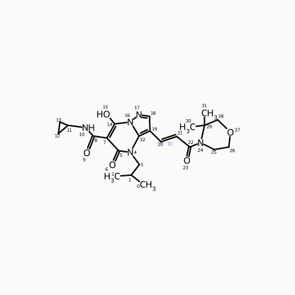 CC(C)Cn1c(=O)c(C(=O)NC2CC2)c(O)n2ncc(/C=C/C(=O)N3CCOCC3(C)C)c12